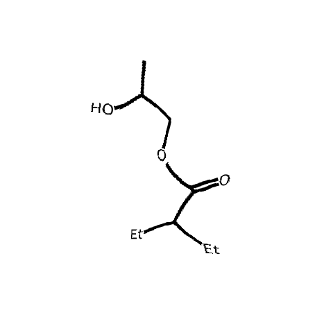 CCC(CC)C(=O)OCC(C)O